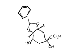 O=C(O)[C@@]1(O)C[C@@H](O)[C@@H]2OC(c3ccccc3)O[C@@H]2C1